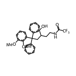 COc1cccc(C(CC(CO)CCNC(=O)C(F)(F)F)(c2ccccc2)c2ccccc2)c1OC